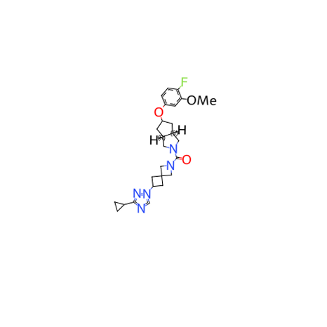 COc1cc(OC2C[C@@H]3CN(C(=O)N4CC5(CC(n6cnc(C7CC7)n6)C5)C4)C[C@@H]3C2)ccc1F